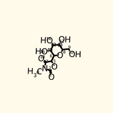 CN1C(=O)OC(C2OC(CO)[C@@H](O)[C@H](O)[C@H]2O)C1=O